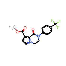 COC(=O)c1ccn2c1C(=O)N(c1ccc(C(F)(F)F)cc1)CC2